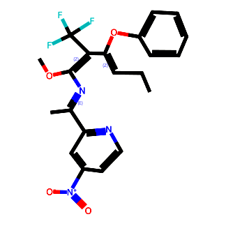 CC/C=C(Oc1ccccc1)/C(=C(\N=C(/C)c1cc([N+](=O)[O-])ccn1)OC)C(F)(F)F